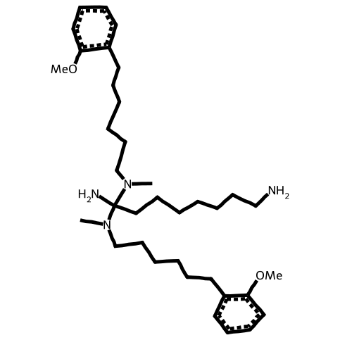 COc1ccccc1CCCCCCN(C)C(N)(CCCCCCCN)N(C)CCCCCCc1ccccc1OC